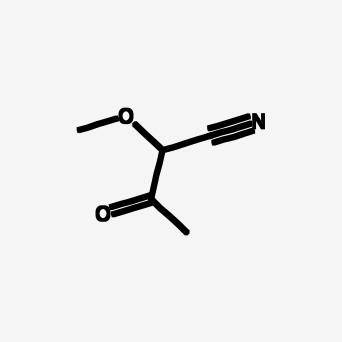 COC(C#N)C(C)=O